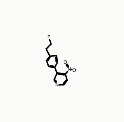 O=[N+]([O-])c1ccncc1-c1ccc(CCF)cc1